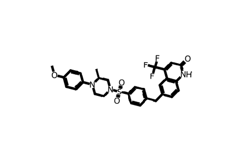 COc1ccc(N2CCN(S(=O)(=O)c3ccc(Cc4ccc5[nH]c(=O)cc(C(F)(F)F)c5c4)cc3)CC2C)cc1